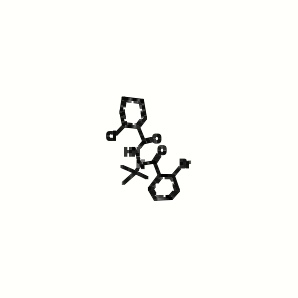 CC(C)(C)N(NC(=O)c1ccccc1Cl)C(=O)c1ccccc1Br